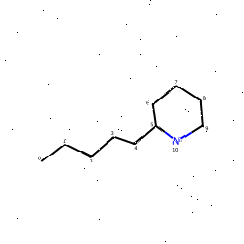 CCCCCC1CCCC[N]1